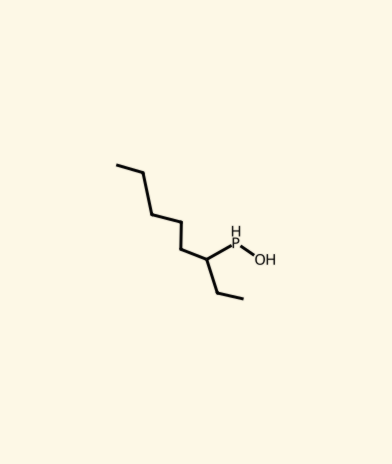 CCCCCC(CC)PO